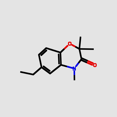 CCc1ccc2c(c1)N(C)C(=O)C(C)(C)O2